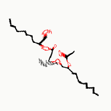 CCCCCCCCC(COCC(=O)OC(CO)CCCCCCCC)OC(C)=O.[NaH].[NaH]